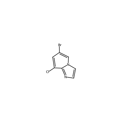 Clc1cc(Br)cn2ccnc12